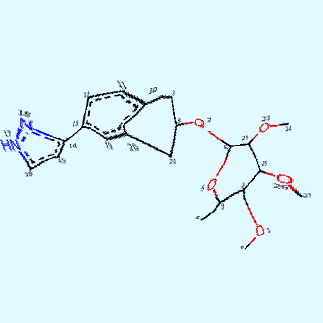 COC1C(C)OC(OC2Cc3ccc(-c4cc[nH]n4)cc3C2)C(OC)C1OC